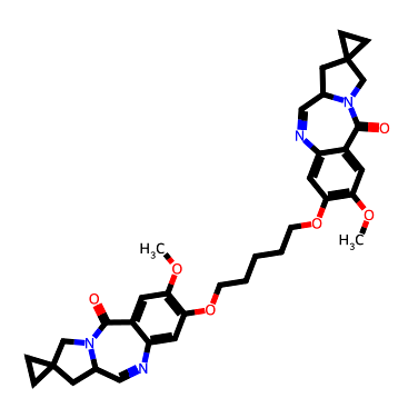 COc1cc2c(cc1OCCCCCOc1cc3c(cc1OC)C(=O)N1CC4(CC4)CC1C=N3)N=CC1CC3(CC3)CN1C2=O